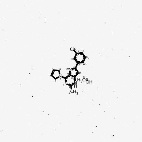 Cc1nc(N2CC=CC2)c2nc(-c3cccc(Cl)c3)cc-2[nH]1.Cl.O